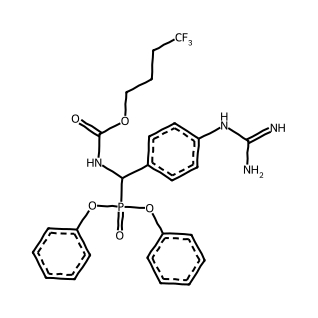 N=C(N)Nc1ccc(C(NC(=O)OCCCC(F)(F)F)P(=O)(Oc2ccccc2)Oc2ccccc2)cc1